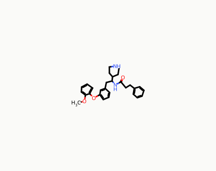 COc1ccccc1Oc1cccc(CC(NC(=O)CCc2ccccc2)C2CCNCC2)c1